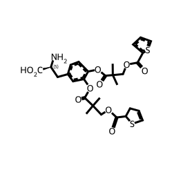 CC(C)(COC(=O)c1cccs1)C(=O)Oc1ccc(C[C@H](N)C(=O)O)cc1OC(=O)C(C)(C)COC(=O)C1CC=CS1